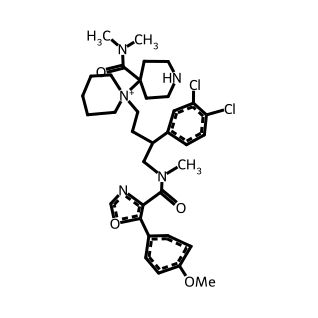 COc1ccc(-c2ocnc2C(=O)N(C)CC(CC[N+]2(C3(C(=O)N(C)C)CCNCC3)CCCCC2)c2ccc(Cl)c(Cl)c2)cc1